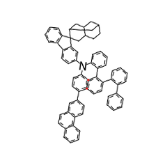 c1ccc(-c2ccccc2-c2ccccc2-c2ccccc2N(c2ccc(-c3ccc4c(ccc5ccccc54)c3)cc2)c2ccc3c(c2)C2(CC4CCC5CC4CC2C5)c2ccccc2-3)cc1